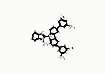 Cc1cc(C)cc(-c2ccc3c(c2)c2cc(-c4cc(C)cc(C)c4)ccc2n3-c2nc3ccccc3n2C)c1